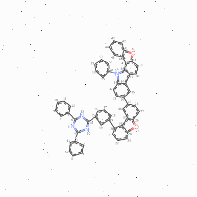 c1ccc(-c2nc(-c3ccccc3)nc(-c3cccc(-c4cccc5oc6ccc(-c7ccc8c(c7)c7ccc9oc%10ccccc%10c9c7n8-c7ccccc7)cc6c45)c3)n2)cc1